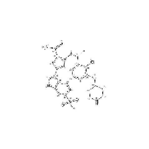 C[C@@H](Oc1cc(-n2cnc3cc(S(C)(=O)=O)ccc32)sc1C(N)=O)c1cccc(OC2CCNCC2)c1Cl